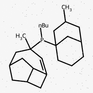 CCCCP(C1(C)C=C2CC3CC(CC23)C1)C12CCCC(CC(C)C1)C2